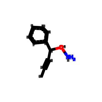 CC#CC(ON)c1ccccc1